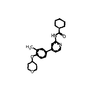 Cc1cc(-c2ccnc(NC(=O)C3CCCCC3)c2)ccc1OC1CCOCC1